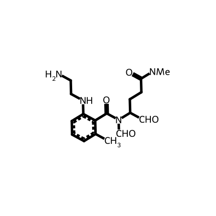 CNC(=O)CCC(C=O)N(C=O)C(=O)c1c(C)cccc1NCCN